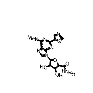 CCNC(=O)C1OC(n2cnc3c(NC)nc(-c4cncs4)nc32)C(O)C1O